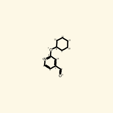 O=Cc1ccnc(OC2CCCCC2)c1